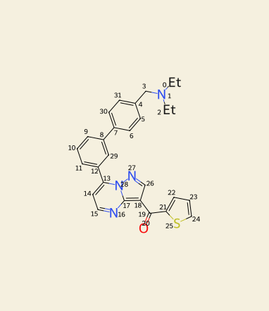 CCN(CC)Cc1ccc(-c2cccc(-c3ccnc4c(C(=O)c5cccs5)cnn34)c2)cc1